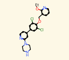 CCOc1ncccc1COc1c(Cl)cc(-c2ccnc(N3CCNCC3)c2)cc1Cl